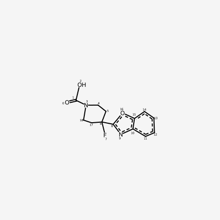 O=C(O)N1CCC(F)(c2nc3ccccc3o2)CC1